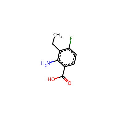 CCc1c(F)ccc(C(=O)O)c1N